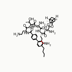 CCCCc1ccc(-c2ccc(C(=O)N[C@@H](CCN)C(=O)N[C@H](C(=O)N[C@@H](N)C(=O)N[C@@H](CCCCN)C(=O)N[C@@H](N)B3OC4C[C@@H]5C[C@@H](C5(C)C)[C@]4(C)O3)[C@@H](C)O)cc2)cc1